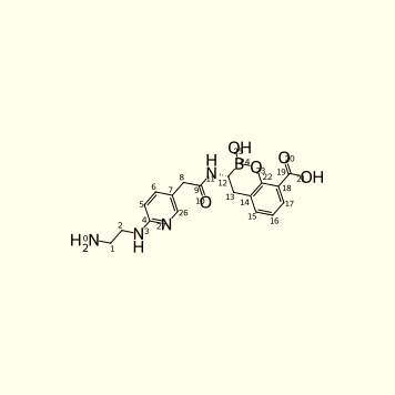 NCCNc1ccc(CC(=O)N[C@H]2Cc3cccc(C(=O)O)c3OB2O)cn1